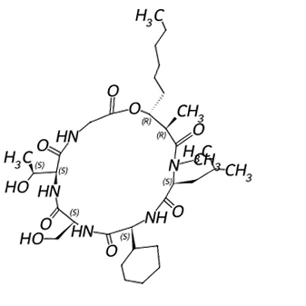 CCCCCC[C@H]1OC(=O)CNC(=O)[C@H]([C@H](C)O)NC(=O)[C@H](CO)NC(=O)[C@H](C2CCCCC2)NC(=O)[C@H](CC(C)C)N(C)C(=O)[C@@H]1C